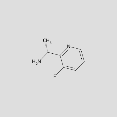 C[C@@H](N)c1ncccc1F